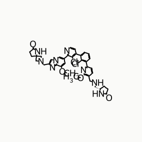 COc1nc(-c2cccc(-c3ccnc(-c4cc(OC)c5nc(CN6CC7(CCC(=O)N7)C6)cn5c4)c3Cl)c2Cl)ccc1CNC[C@@H]1CCC(=O)N1